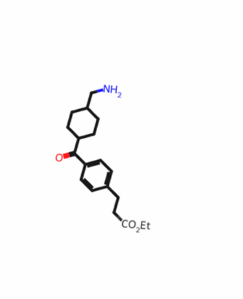 CCOC(=O)CCc1ccc(C(=O)C2CCC(CN)CC2)cc1